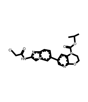 CC(C)OC(=O)N1CCOc2ncc(-c3ccc4nc(NC(=O)CCl)cn4c3)cc21